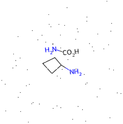 NC(=O)O.NC1CCC1